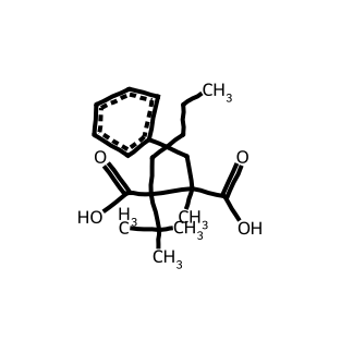 CCCCC(C(=O)O)(C(C)(C)C)C(C)(Cc1ccccc1)C(=O)O